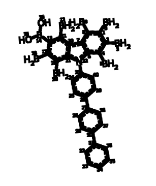 Bc1c(B)c(B)c2c(c1B)c1c(B)c(B(O)O)c(B)c(B)c1n2-c1ccc(-c2ccc(-c3ccccc3)cc2)cc1